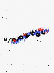 Cn1c(=O)n(C2CCC(=O)NC2=O)c2cccc(N3CCC(CN4CCC5(CC4)CCN(c4ccc6cc(-c7n[nH]c8c7C7C[C@@](C)(C8)C7(F)F)[nH]c6c4)C5=O)CC3)c21